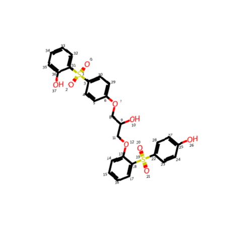 O=S(=O)(c1ccc(OCC(O)COc2ccccc2S(=O)(=O)c2ccc(O)cc2)cc1)c1ccccc1O